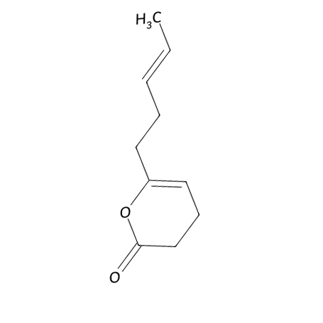 C/C=C/CCC1=CCCC(=O)O1